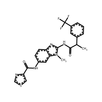 CC(C(=O)Nc1nc2ccc(NC(=O)c3cscn3)cc2n1C)c1cccc(C(F)(F)F)c1